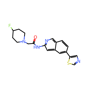 O=C(CN1CCC(F)CC1)Nc1cc2cc(-c3cncs3)ccc2cn1